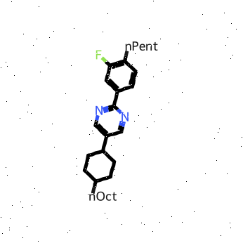 CCCCCCCCC1CCC(c2cnc(-c3ccc(CCCCC)c(F)c3)nc2)CC1